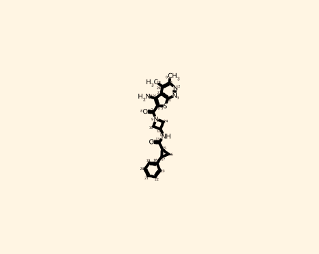 Cc1nnc2sc(C(=O)N3CC(NC(=O)C4CC4c4ccccc4)C3)c(N)c2c1C